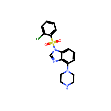 O=S(=O)(c1ccccc1Cl)n1cnc2c(N3CCNCC3)cccc21